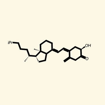 C=C1CC(=O)[C@H](O)C/C1=C/C=C1CCC[C@@]2(C)C1CC[C@@H]2[C@H](C)CCCC(C)C